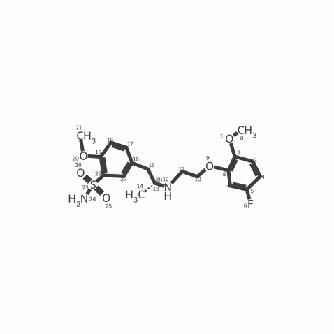 COc1ccc(F)cc1OCCN[C@H](C)Cc1ccc(OC)c(S(N)(=O)=O)c1